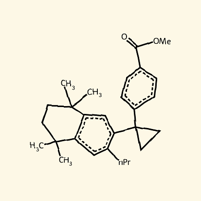 CCCc1cc2c(cc1C1(c3ccc(C(=O)OC)cc3)CC1)C(C)(C)CCC2(C)C